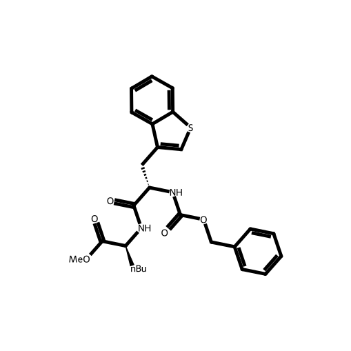 CCCC[C@H](NC(=O)[C@H](Cc1csc2ccccc12)NC(=O)OCc1ccccc1)C(=O)OC